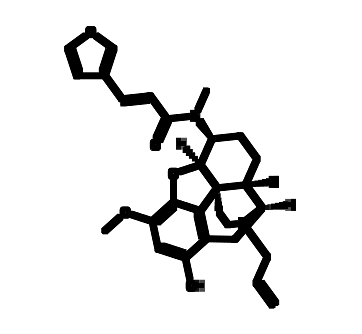 C=CCN1CC[C@]23c4c5c(O)cc(OC)c4O[C@H]2[C@@H](N(C)C(=O)/C=C/c2ccoc2)CC[C@H]3[C@H]1C5